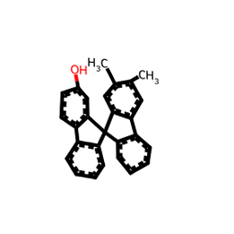 Cc1cc2c(cc1C)C1(c3ccccc3-c3ccc(O)cc31)c1ccccc1-2